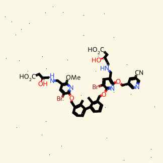 COc1nc(OCc2cccc(-c3cccc(COc4nc(OCc5cncc(C#N)c5)c(CNC[C@@H](O)CC(=O)O)cc4Br)c3C)c2C)c(Br)cc1CNC[C@@H](O)CC(=O)O